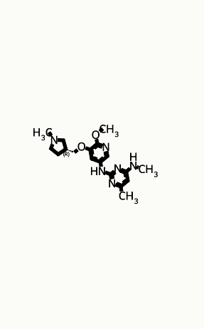 CNc1cc(C)nc(Nc2cnc(OC)c(OC[C@@H]3CCN(C)C3)c2)n1